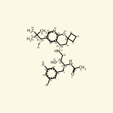 CC(=O)N[C@@H](Cc1cc(F)cc(F)c1)[C@H](O)CN[C@H]1CC2(CCC2)Oc2ncc([C@H](F)C(C)(C)C)cc21